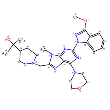 CCOc1nn(-c2nc(N3CCOCC3)c3nc(CN4CCC(C(C)(C)O)CC4)n(C)c3n2)c2ccccc12